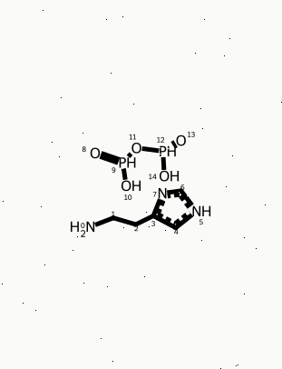 NCCc1c[nH]cn1.O=[PH](O)O[PH](=O)O